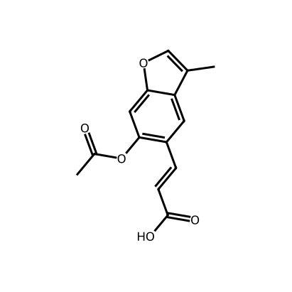 CC(=O)Oc1cc2occ(C)c2cc1/C=C/C(=O)O